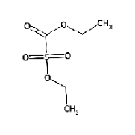 CCOC(=O)S(=O)(=O)OCC